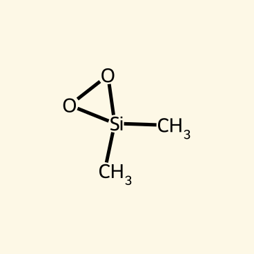 C[Si]1(C)OO1